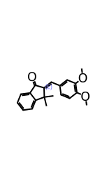 COc1ccc(/C=C2/C(=O)c3ccccc3C2(C)C)cc1OC